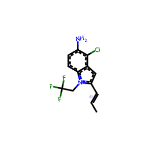 C/C=C/c1cc2c(Cl)c(N)ccc2n1CC(F)(F)F